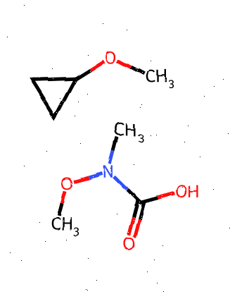 COC1CC1.CON(C)C(=O)O